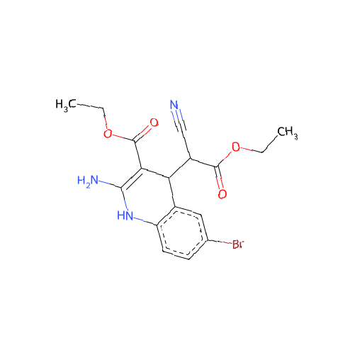 CCOC(=O)C1=C(N)Nc2ccc(Br)cc2C1C(C#N)C(=O)OCC